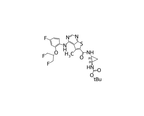 Cc1c(C(=O)N[C@@H]2C[C@H]2NC(=O)OC(C)(C)C)sc2ncnc(Nc3ccc(F)cc3OC(CF)CF)c12